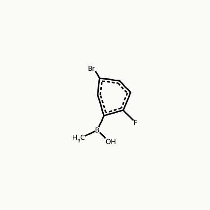 CB(O)c1cc(Br)ccc1F